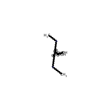 CCCCCCCC/C=C\CCCCCCCC(=O)O[C@H](COC(=O)CCCCCCCCC/C=C\CCCCCCCCCC)COP(=O)(O)OC[C@@H](O)CO